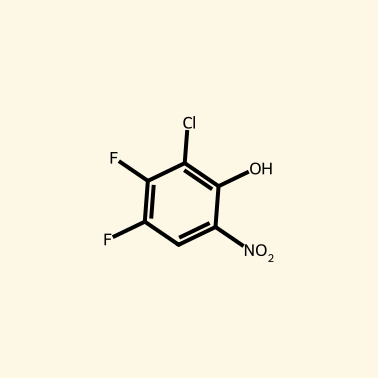 O=[N+]([O-])c1cc(F)c(F)c(Cl)c1O